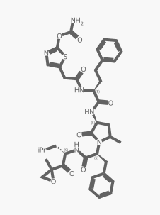 CC(C)C[C@H](NC(=O)[C@H](Cc1ccccc1)N1C(=O)[C@@H](NC(=O)[C@H](CCc2ccccc2)NC(=O)Cc2cnc(OC(N)=O)s2)CC1C)C(=O)C1(C)CO1